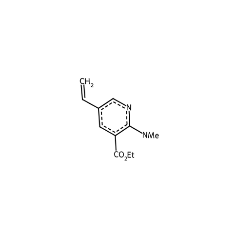 C=Cc1cnc(NC)c(C(=O)OCC)c1